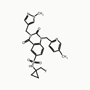 Cc1ccc(Cn2c(=O)n(Cc3cnn(C)c3)c(=O)c3cc(S(=O)(=O)NC4(CF)CC4)ccc32)nc1